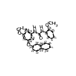 COc1nc(NC(=O)Nc2ccccc2OC)nc(Oc2ccc3ccccc3c2)n1